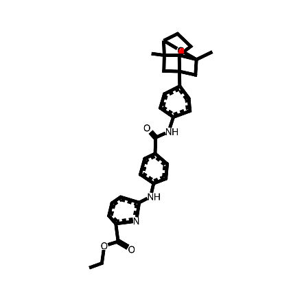 CCOC(=O)c1cccc(Nc2ccc(C(=O)Nc3ccc(C45CC6(C)CCC7CCC64C7(C)C5)cc3)cc2)n1